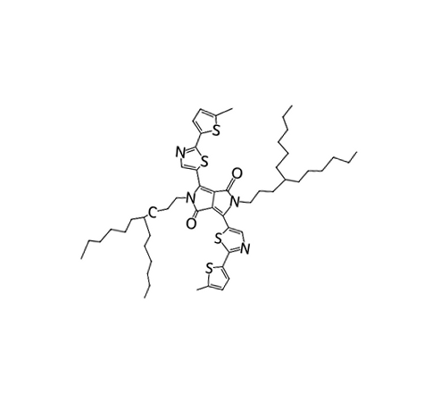 CCCCCCC(CCCCCC)CCCN1C(=O)C2=C(c3cnc(-c4ccc(C)s4)s3)N(CCCC(CCCCCC)CCCCCC)C(=O)C2=C1c1cnc(-c2ccc(C)s2)s1